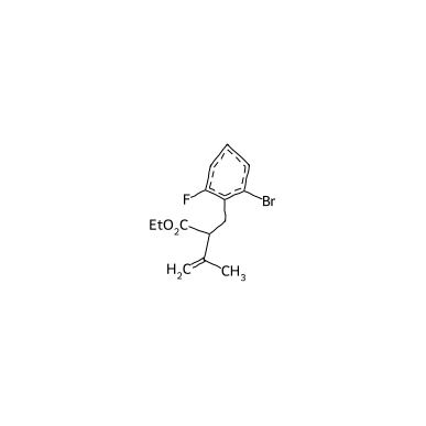 C=C(C)C(Cc1c(F)cccc1Br)C(=O)OCC